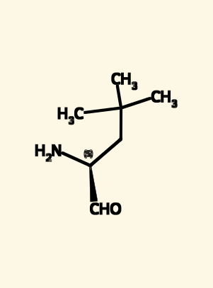 CC(C)(C)C[C@H](N)C=O